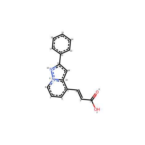 O=C(O)C=Cc1cccn2nc(-c3ccccc3)cc12